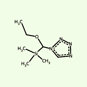 CCOC(n1cnnn1)[Si](C)(C)C